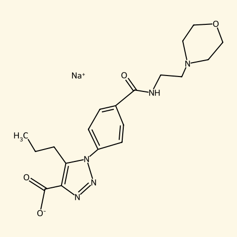 CCCc1c(C(=O)[O-])nnn1-c1ccc(C(=O)NCCN2CCOCC2)cc1.[Na+]